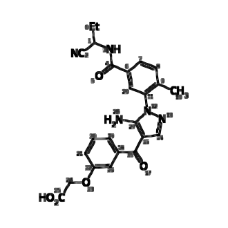 CCC(C#N)NC(=O)c1ccc(C)c(-n2ncc(C(=O)c3cccc(OCC(=O)O)c3)c2N)c1